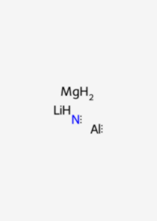 [Al].[LiH].[MgH2].[N]